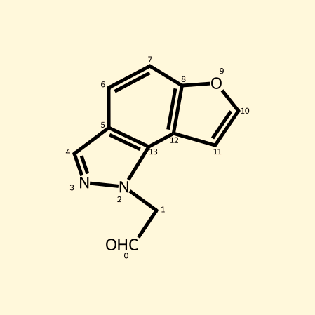 O=CCn1ncc2ccc3occc3c21